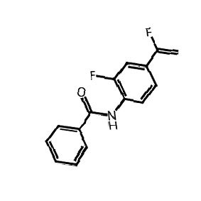 C=C(F)c1ccc(NC(=O)c2ccccc2)c(F)c1